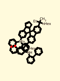 CCCCCCC(C)(CC)c1ccc2c(c1)C1(C3=C(C=CC3)c3ccc(N(c4ccccc4)c4ccccc4-c4ccccc4)cc31)c1cc(C(CC)(CCCCCC)c3ccccc3Nc3ccccc3-c3ccccc3)ccc1-2